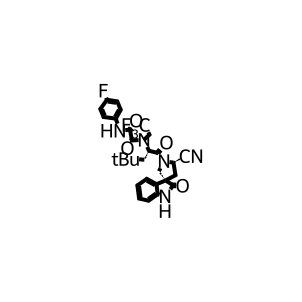 CC(C)(C)C[C@@H](C(=O)N1C[C@]2(C[C@H]1C#N)C(=O)Nc1ccccc12)N(CC(F)(F)F)C(=O)C(=O)Nc1ccc(F)cc1